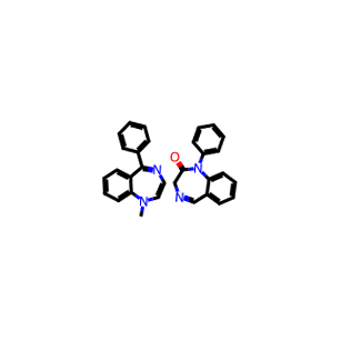 CN1C=CN=C(c2ccccc2)c2ccccc21.O=C1CN=Cc2ccccc2N1c1ccccc1